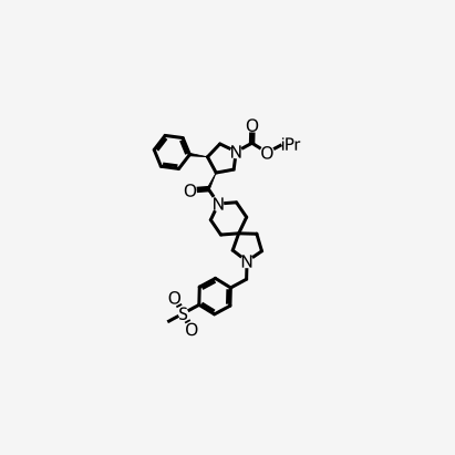 CC(C)OC(=O)N1C[C@H](c2ccccc2)[C@H](C(=O)N2CCC3(CCN(Cc4ccc(S(C)(=O)=O)cc4)C3)CC2)C1